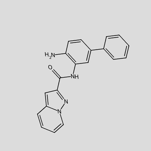 Nc1ccc(-c2ccccc2)cc1NC(=O)c1cc2ccccn2n1